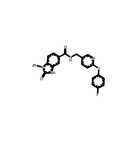 CC(C)n1c(=O)[nH]c2cc(C(=O)NCc3ccc(Oc4ccc(F)cc4)nc3)ccc21